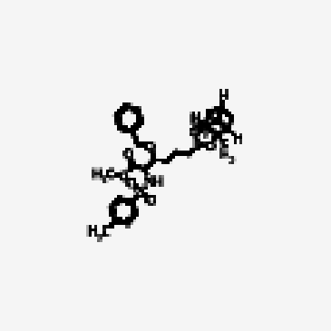 COC(=O)[C@@H](NS(=O)(=O)c1ccc(C)cc1)[C@H](CCCB1O[C@H]2C[C@@H]3C[C@@H](C3(C)C)[C@]2(C)O1)OCc1ccccc1